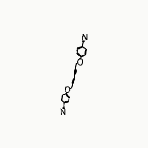 N#Cc1ccc(OCC#CC#CCOc2ccc(C#N)cc2)cc1